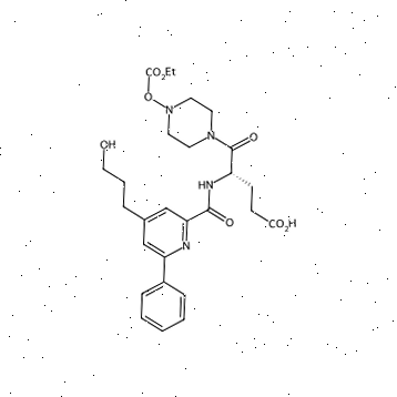 CCOC(=O)ON1CCN(C(=O)[C@H](CCC(=O)O)NC(=O)c2cc(CCCO)cc(-c3ccccc3)n2)CC1